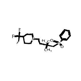 CC(C)(CCN1CCC(C(F)(F)F)CC1)CS(=O)(=O)c1ccccc1